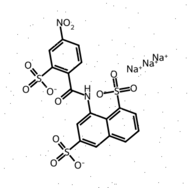 O=C(Nc1cc(S(=O)(=O)[O-])cc2cccc(S(=O)(=O)[O-])c12)c1ccc([N+](=O)[O-])cc1S(=O)(=O)[O-].[Na+].[Na+].[Na+]